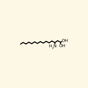 CCCCCCCCCCCCC(N)CC(O)O